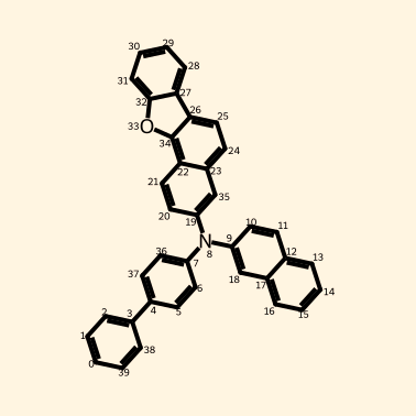 c1ccc(-c2ccc(N(c3ccc4ccccc4c3)c3ccc4c(ccc5c6ccccc6oc45)c3)cc2)cc1